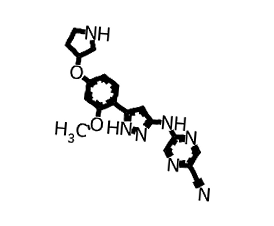 COc1cc(OC2CCNC2)ccc1-c1cc(Nc2cnc(C#N)cn2)n[nH]1